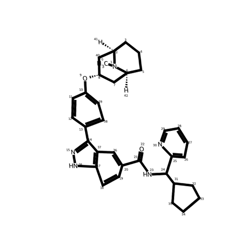 CN1[C@@H]2CCC[C@H]1C[C@H](Oc1ccc(-c3n[nH]c4ccc(C(=O)NC(c5ccccn5)C5CCCC5)cc34)cc1)C2